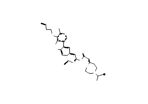 C=CCCNc1c(C)ncc(C2=C/C(=C/C(=N\C=C)NC(=N)/C=C3/CCN(C(C)C#N)CCN3)CC=C2F)c1C